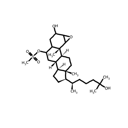 C[C@H](CCCC(C)(C)O)[C@H]1CC[C@H]2[C@@H]3CC(OS(C)(=O)=O)C4CC(O)C5OC5[C@]4(C)[C@H]3CC[C@]12C